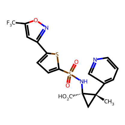 C[C@@]1(c2cccnc2)C[C@]1(NS(=O)(=O)c1ccc(-c2cc(C(F)(F)F)on2)s1)C(=O)O